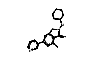 Cc1cc(-c2cccnc2)cc2c1C(=O)N(NC1CCCCC1)C2